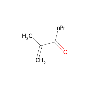 [CH2]CCC(=O)C(=C)C